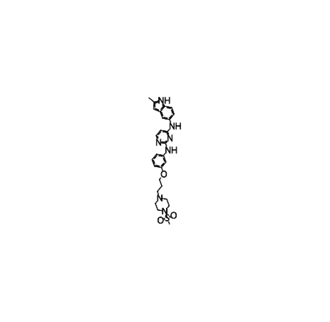 Cc1cc2cc(Nc3ccnc(Nc4cccc(OCCCN5CCN(S(C)(=O)=O)CC5)c4)n3)ccc2[nH]1